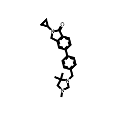 CN1CN(Cc2ccc(-c3ccc4c(c3)CN(C3CC3)C4=O)cc2)C(C)(C)C1